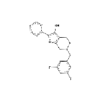 Oc1c2c(nn1-c1ccccn1)CN(Cc1cc(F)cc(F)c1)CC2